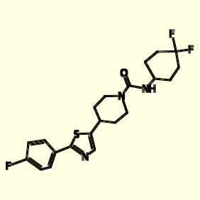 O=C(NC1CCC(F)(F)CC1)N1CCC(c2cnc(-c3ccc(F)cc3)s2)CC1